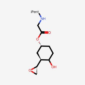 CCCC(C)NCC(=O)O[C@@H]1CCC(O)[C@@H]([C@@H]2CO2)C1